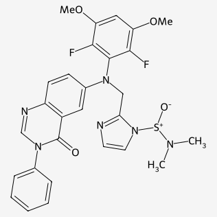 COc1cc(OC)c(F)c(N(Cc2nccn2[S+]([O-])N(C)C)c2ccc3ncn(-c4ccccc4)c(=O)c3c2)c1F